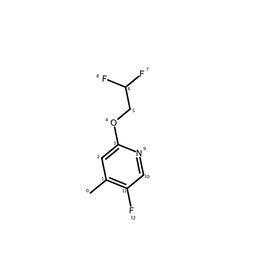 Cc1cc(OCC(F)F)ncc1F